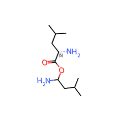 CC(C)CC(N)OC(=O)[C@@H](N)CC(C)C